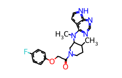 CC1CCN(C(=O)COc2ccc(F)cc2)CC1N(C)c1ncnc2[nH]ccc12